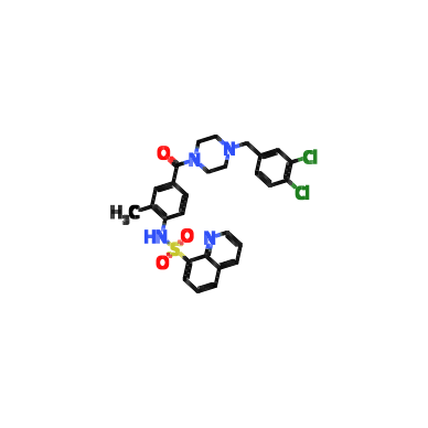 Cc1cc(C(=O)N2CCN(Cc3ccc(Cl)c(Cl)c3)CC2)ccc1NS(=O)(=O)c1cccc2cccnc12